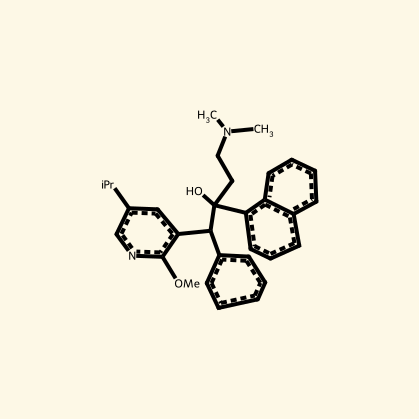 COc1ncc(C(C)C)cc1C(c1ccccc1)C(O)(CCN(C)C)c1cccc2ccccc12